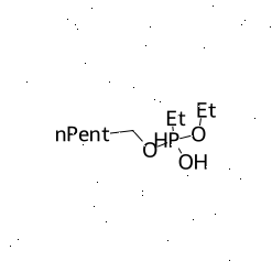 CCCCCCO[PH](O)(CC)OCC